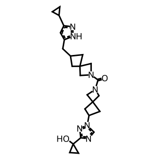 O=C(N1CC2(CC(Cc3cc(C4CC4)n[nH]3)C2)C1)N1CC2(CC(n3cnc(C4(O)CC4)n3)C2)C1